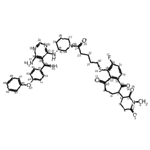 CN1C(=O)CCC(C2CCC(=O)c3c(ccc(F)c3SCCCCC(=O)N3CCC[C@@H](Nc4ncnc(N)c4C(=N)c4ccc(Oc5ccccc5)cc4)C3)C2=O)C1=O